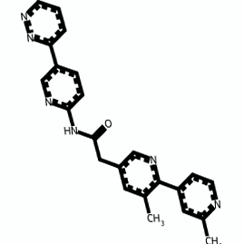 Cc1cc(-c2ncc(CC(=O)Nc3ccc(-c4cccnn4)cn3)cc2C)ccn1